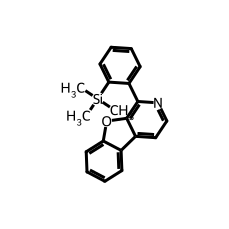 C[Si](C)(C)c1ccccc1-c1nccc2c1oc1ccccc12